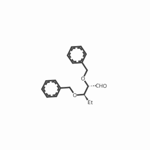 CC[C@@H](OCc1ccccc1)[C@@H](C=O)OCc1ccccc1